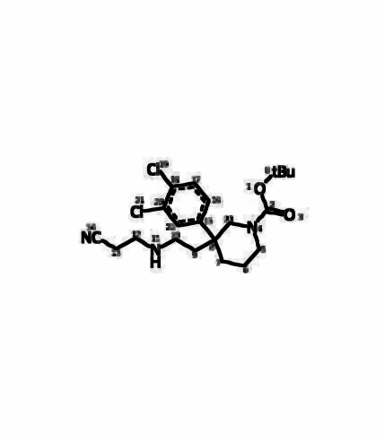 CC(C)(C)OC(=O)N1CCCC(CCNCCC#N)(c2ccc(Cl)c(Cl)c2)C1